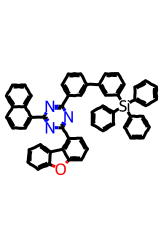 c1ccc([Si](c2ccccc2)(c2ccccc2)c2cccc(-c3cccc(-c4nc(-c5cccc6ccccc56)nc(-c5cccc6oc7ccccc7c56)n4)c3)c2)cc1